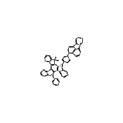 CC1(C)c2ccccc2-c2c1c1c(c3ccccc3n1-c1ccc(-c3ccc4c5c(cccc35)-c3ccccc3-4)cc1)c1c2c2ccccc2n1-c1ccccc1